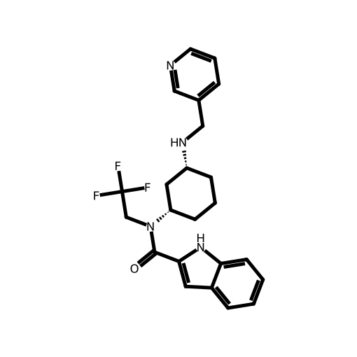 O=C(c1cc2ccccc2[nH]1)N(CC(F)(F)F)[C@H]1CCC[C@@H](NCc2cccnc2)C1